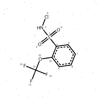 O=S(=O)(NCl)c1ccccc1OC(F)(F)F